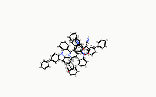 N#Cc1cccc(-c2c(-c3ccccc3)c(-c3ccccc3-n3c4ccc(-c5ccccc5)cc4c4cc(-c5ccccc5)ccc43)nc(-c3ccccc3)c2-c2ccccc2-n2c3ccc(-c4ccccc4)cc3c3cc(-c4ccccc4)ccc32)c1C#N